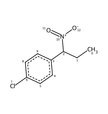 CCC(c1ccc(Cl)cc1)[N+](=O)[O-]